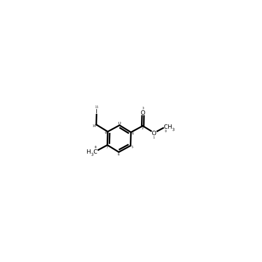 COC(=O)c1ccc(C)c(CI)c1